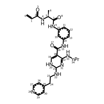 C=CC(=O)N[C@@H](C)C(=O)Nc1cccc(NC(=O)C2=CNC(NCCc3ccncc3)N=C2NCCC)c1